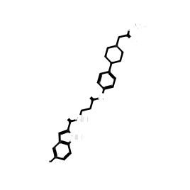 COC(=O)CC1CCC(c2ccc(NC(=O)CCNC(=O)c3cc4cc(Cl)ccc4[nH]3)cc2)CC1